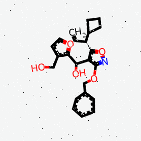 C=C[C@@H](c1onc(OCc2ccccc2)c1C(O)c1occc1CO)C1CCC1